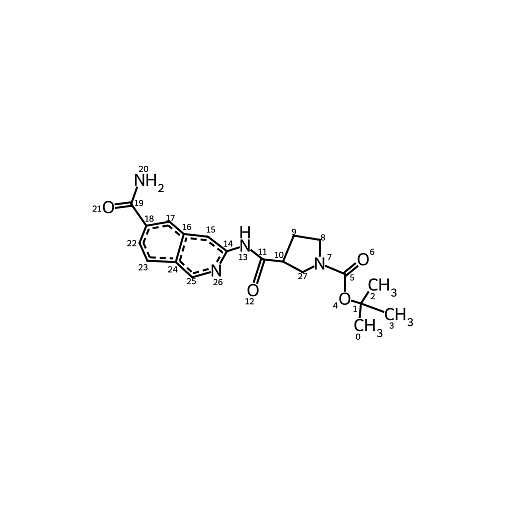 CC(C)(C)OC(=O)N1CCC(C(=O)Nc2cc3cc(C(N)=O)ccc3cn2)C1